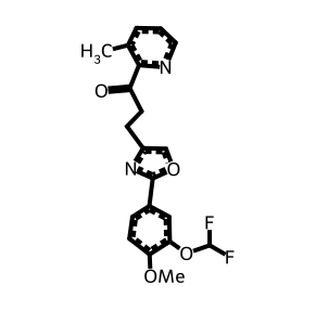 COc1ccc(-c2nc(CCC(=O)c3ncccc3C)co2)cc1OC(F)F